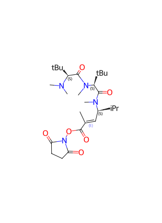 C/C(=C\[C@H](C(C)C)N(C)C(=O)[C@@H](N(C)C(=O)[C@@H](N(C)C)C(C)(C)C)C(C)(C)C)C(=O)ON1C(=O)CCC1=O